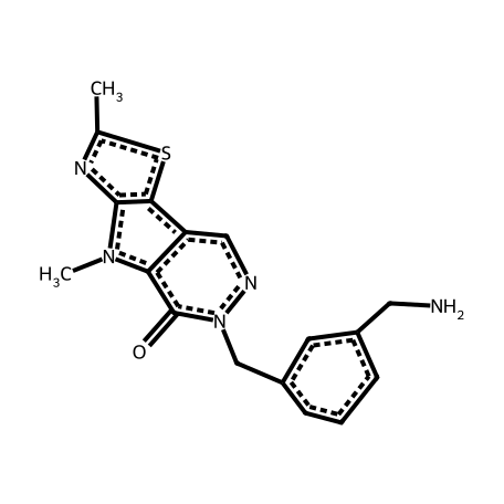 Cc1nc2c(s1)c1cnn(Cc3cccc(CN)c3)c(=O)c1n2C